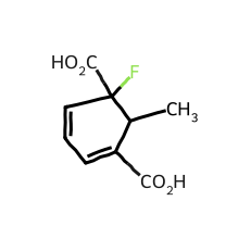 CC1C(C(=O)O)=CC=CC1(F)C(=O)O